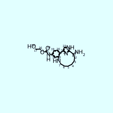 N[C@H]1CCCCCCNc2cc(NC(=O)OCCO)ccc2-c2c[nH]c1n2